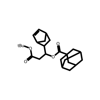 CC(C)(C)OC(=O)CC(OC(=O)C12CC3CC(CC(C3)C1)C2)C1CC2C=CC1C2